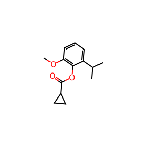 COc1cccc(C(C)C)c1OC(=O)C1CC1